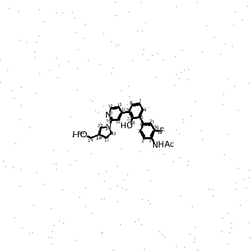 CC(=O)Nc1ccc(-c2cccc(-c3ccnc(N4CCC(CO)C4)c3)c2O)cc1F